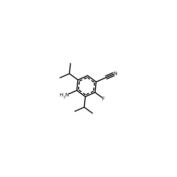 CC(C)c1cc(C#N)c(F)c(C(C)C)c1N